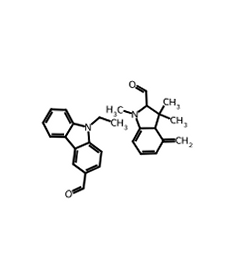 C=C1C=CC=C2C1C(C)(C)C(C=O)N2C.CCn1c2ccccc2c2cc(C=O)ccc21